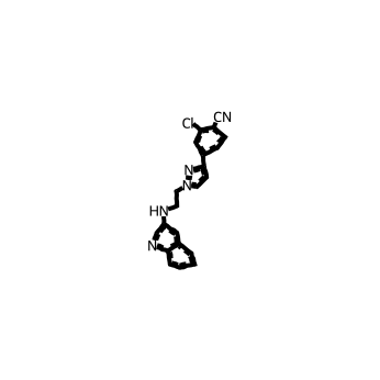 N#Cc1ccc(-c2ccn(CCNc3cnc4ccccc4c3)n2)cc1Cl